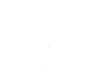 CC(C)n1ccc(F)cc1=O